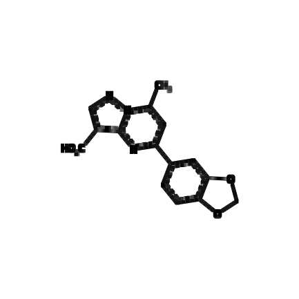 Cc1cc(-c2ccc3c(c2)OCO3)nc2c(C(=O)O)cnn12